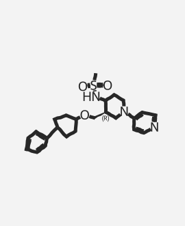 CS(=O)(=O)NC1CCN(c2ccncc2)C[C@H]1COC1CCC(c2ccccc2)CC1